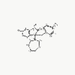 O=C1Nc2cc(F)ccc2C1(Cc1ccc(O)cc1)C1CCCCCC1